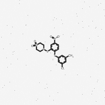 Cc1cc(Cl)cc(Sc2ccc([N+](=O)[O-])cc2SN2CCS(=O)(=O)CC2)c1